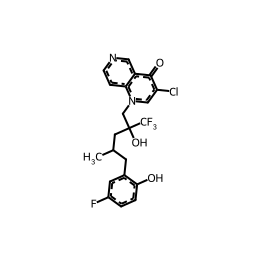 CC(Cc1cc(F)ccc1O)CC(O)(Cn1cc(Cl)c(=O)c2cnccc21)C(F)(F)F